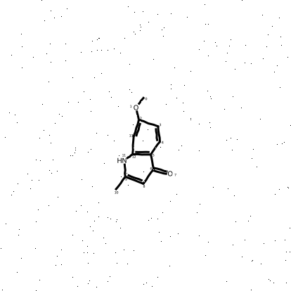 COc1ccc2c(=O)cc(C)[nH]c2c1